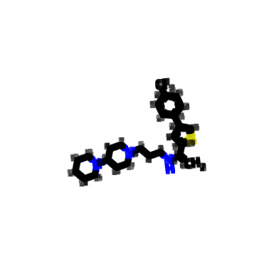 C=C(NCCCN1CCC(N2CCCCC2)CC1)c1cc(-c2ccc(C(F)(F)F)cc2)cs1